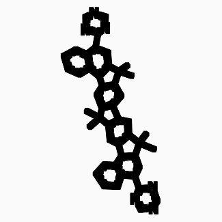 CC1(C)c2cc3c(cc2-c2cc4c(cc21)-c1c(cc(-c2ncncn2)c2ccccc12)C4(C)C)C(C)(C)c1cc(-c2ncncn2)c2ccccc2c1-3